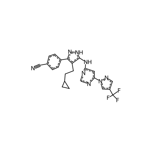 N#Cc1ccc(-c2n[nH]c(Nc3cc(-n4cc(C(F)(F)F)cn4)ncn3)c2CCC2CC2)cc1